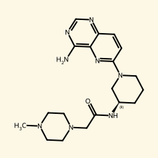 CN1CCN(CC(=O)N[C@@H]2CCCN(c3ccc4ncnc(N)c4n3)C2)CC1